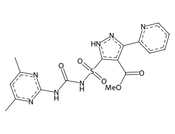 COC(=O)c1c(-c2ccccn2)n[nH]c1S(=O)(=O)NC(=O)Nc1nc(C)cc(C)n1